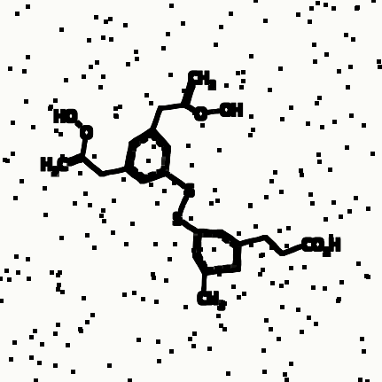 C=C(Cc1cc(CC(=C)OO)cc(SSc2cc(C)cc(CCC(=O)O)c2)c1)OO